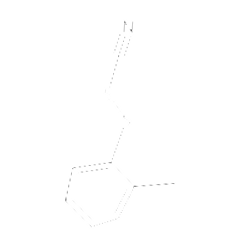 Cc1ccccc1SSC#N